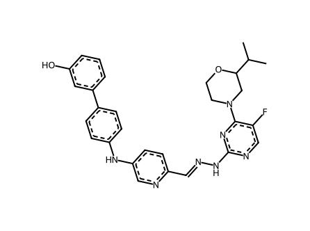 CC(C)C1CN(c2nc(N/N=C/c3ccc(Nc4ccc(-c5cccc(O)c5)cc4)cn3)ncc2F)CCO1